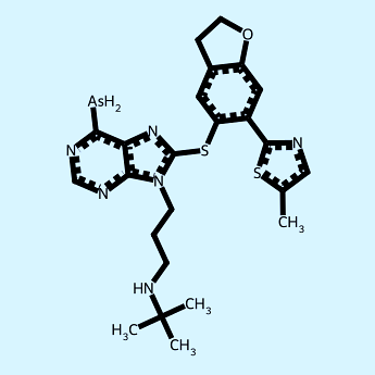 Cc1cnc(-c2cc3c(cc2Sc2nc4c([AsH2])ncnc4n2CCCNC(C)(C)C)CCO3)s1